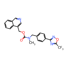 CN(Cc1ccc(-c2noc(C(F)(F)F)n2)cc1)C(=O)OCc1cncc2ccccc12